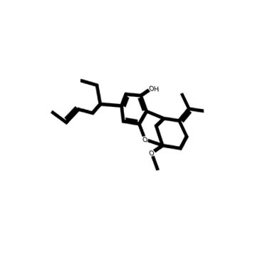 CC=CCC(CC)c1cc(O)c2c(c1)OC1(OC)CCC(=C(C)C)C2C1